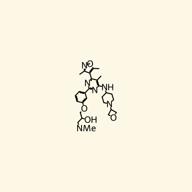 CNCC(O)COc1cccc(-c2nc(NC3CCN(C4COC4)CC3)c(C)c(-c3c(C)noc3C)n2)c1